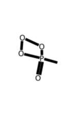 CP1(=O)OOO1